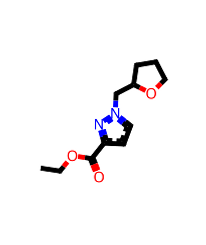 CCOC(=O)c1ccn(CC2CCCO2)n1